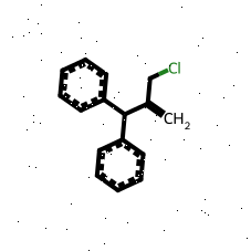 C=C(CCl)C(c1ccccc1)c1ccccc1